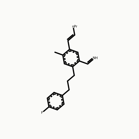 CCC/C=C/c1cc(C=N)c(CCCc2ccc(F)cc2)cc1C